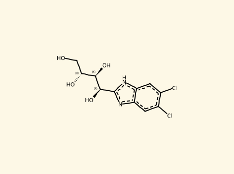 OC[C@@H](O)[C@@H](O)[C@H](O)c1nc2cc(Cl)c(Cl)cc2[nH]1